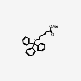 COC(=O)/C=C/CCSC(c1ccccc1)(c1ccccc1)c1ccccc1